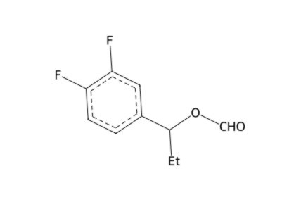 CCC(OC=O)c1ccc(F)c(F)c1